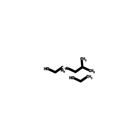 CC(C)[CH2][Al].CCO.CCO